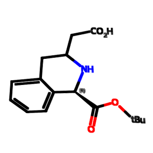 CC(C)(C)OC(=O)[C@@H]1NC(CC(=O)O)Cc2ccccc21